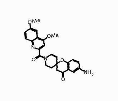 COc1ccc2nc(C(=O)N3CCC4(CC3)CC(=O)c3cc(N)ccc3O4)cc(OC)c2c1